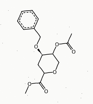 COC(=O)C1C[C@@H](OCc2ccccc2)C(OC(C)=O)CO1